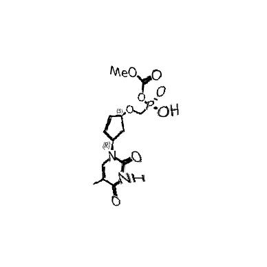 COC(=O)OP(=O)(O)CO[C@@H]1C=C[C@H](n2cc(C)c(=O)[nH]c2=O)C1